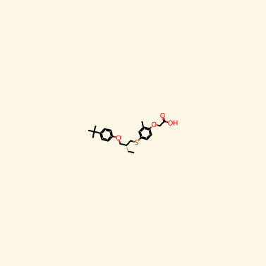 CC[C@H](COc1ccc(C(C)(C)C)cc1)CSc1ccc(OCC(=O)O)c(C)c1